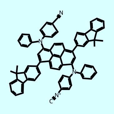 [C-]#[N+]c1ccc(N(c2ccccc2)c2cc(-c3ccc4c(c3)C(C)(C)c3ccccc3-4)c3ccc4c(N(c5ccccc5)c5ccc(C#N)cc5)cc(-c5ccc6c(c5)C(C)(C)c5ccccc5-6)c5ccc2c3c54)cc1